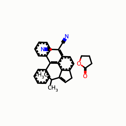 CC(C)C1=CCc2ccc(=C(C#N)C#N)c(=C(c3ccccc3)c3ccccc3)c21.O=C1CCCO1